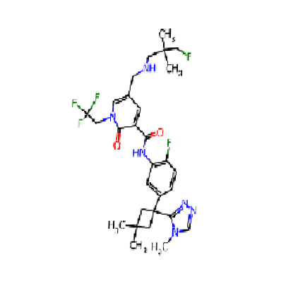 Cn1cnnc1C1(c2ccc(F)c(NC(=O)c3cc(CNCC(C)(C)CF)cn(CC(F)(F)F)c3=O)c2)CC(C)(C)C1